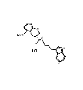 CCC(NCCCc1c[nH]c2ccc(F)cc12)[C@H]1COc2cccc(OC)c2C1.Cl